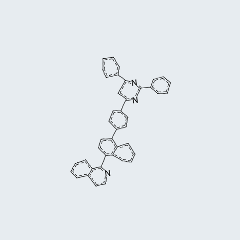 c1ccc(-c2cc(-c3ccc(-c4ccc(-c5nccc6ccccc56)c5ccccc45)cc3)nc(-c3ccccc3)n2)cc1